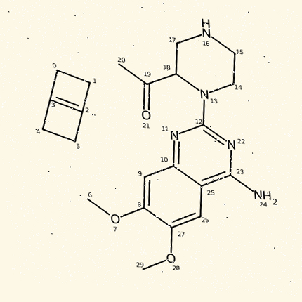 C1CC2=C1CC2.COc1cc2nc(N3CCNCC3C(C)=O)nc(N)c2cc1OC